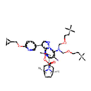 CC(C)(C)OC(=O)N1[C@@H]2CC[C@H]1C[C@H](c1nc3c(-c4ccc(OCC5CC5)nc4)cnn3c(N(COCC[Si](C)(C)C)COCC[Si](C)(C)C)c1I)C2